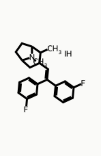 CC1C(C=C(c2cccc(F)c2)c2cccc(F)c2)CC2CCC1N2C.I